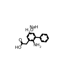 Nc1c(CC(=O)O)cccc1-c1ccccc1.O.[NaH]